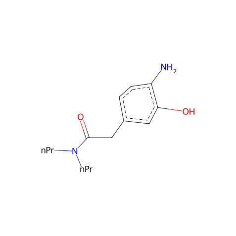 CCCN(CCC)C(=O)Cc1ccc(N)c(O)c1